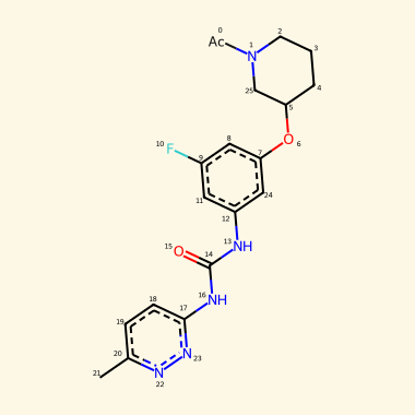 CC(=O)N1CCCC(Oc2cc(F)cc(NC(=O)Nc3ccc(C)nn3)c2)C1